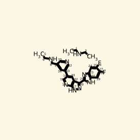 CCNCC.CCNCc1cncc(-c2cnc3[nH]nc(-c4nc5cc(F)c(F)cc5[nH]4)c3c2)c1